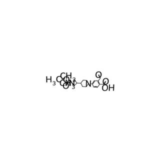 CC(C)(C)OC(=O)N1CC(C2CCN(c3ccc(C(=O)O)c(C=O)c3)CC2)C1